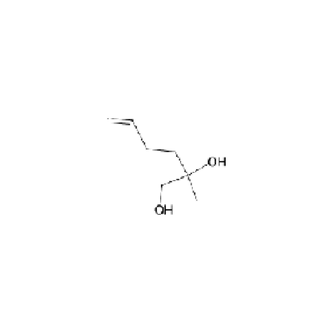 [CH]=CCCC(C)(O)CO